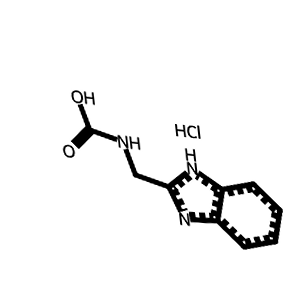 Cl.O=C(O)NCc1nc2ccccc2[nH]1